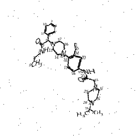 CCNC(=O)C(c1ccccc1)N1CCN(c2ccc(NC(=O)CN3CCN(C(C)C)CC3)cc2F)CC1